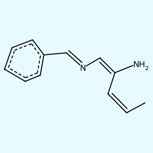 C\C=C/C(N)=C\N=C\c1ccccc1